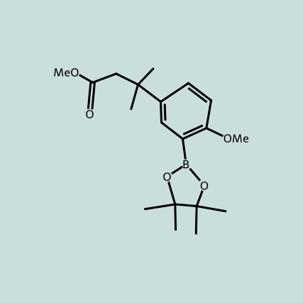 COC(=O)CC(C)(C)c1ccc(OC)c(B2OC(C)(C)C(C)(C)O2)c1